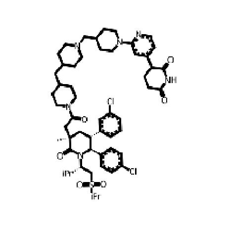 CC(C)[C@@H](CS(=O)(=O)C(C)C)N1C(=O)[C@@](C)(CC(=O)N2CCC(CC3CCN(CC4CCN(c5cc(C6CCC(=O)NC6=O)ccn5)CC4)CC3)CC2)C[C@H](c2cccc(Cl)c2)[C@H]1c1ccc(Cl)cc1